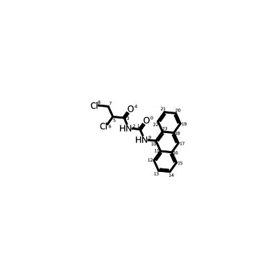 O=C(NC(=O)C(Cl)CCl)Nc1c2ccccc2cc2ccccc12